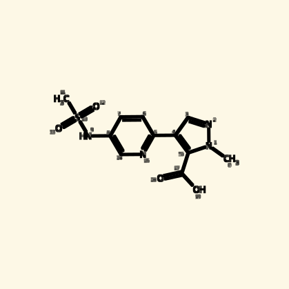 Cn1ncc(-c2ccc(NS(C)(=O)=O)cn2)c1C(=O)O